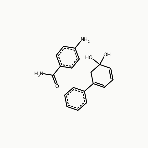 NC(=O)c1ccc(N)cc1.OC1(O)C=CC=C(c2ccccc2)C1